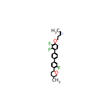 C/C=C\CCOc1ccc(-c2ccc(-c3ccc(C4CCC(C)CO4)c(F)c3)cc2)c(F)c1F